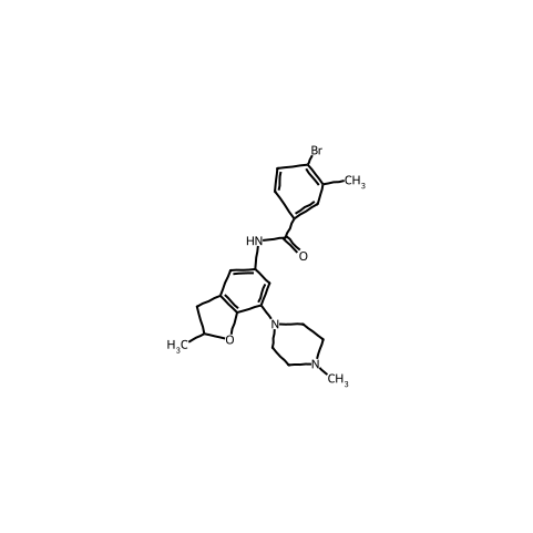 Cc1cc(C(=O)Nc2cc3c(c(N4CCN(C)CC4)c2)OC(C)C3)ccc1Br